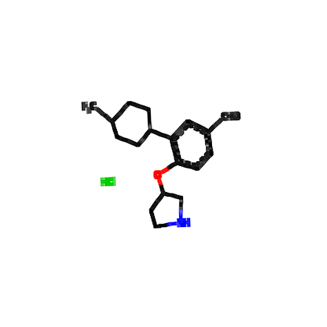 Cl.O=Cc1ccc(OC2CCNC2)c(C2CCC(C(F)(F)F)CC2)c1